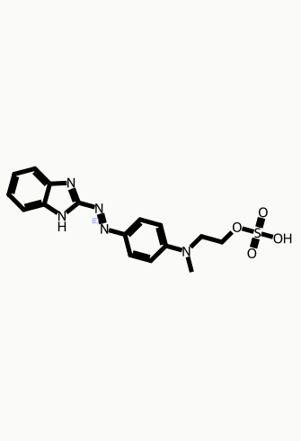 CN(CCOS(=O)(=O)O)c1ccc(/N=N/c2nc3ccccc3[nH]2)cc1